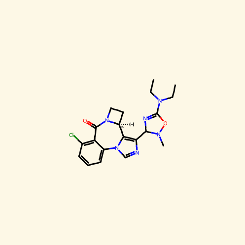 CCN(CC)C1=NC(c2ncn3c2[C@@H]2CCN2C(=O)c2c(Cl)cccc2-3)N(C)O1